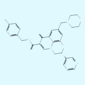 O=C(NCc1ccc(Cl)cc1)c1cn2c3c(cc(CN4CCOCC4)cc3c1=O)O[C@@H](c1cccnc1)C2